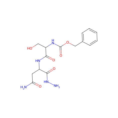 NNC(=O)C(CC(N)=O)NC(=O)C(CO)NC(=O)OCc1ccccc1